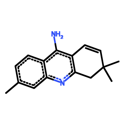 Cc1ccc2c(N)c3c(nc2c1)CC(C)(C)C=C3